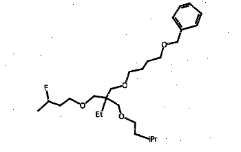 CCC(COCCCCOCc1ccccc1)(COCCC(C)C)COCCC(C)F